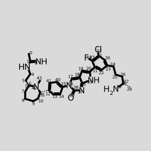 CC(=N)NCC[C@@H]1CCCC[C@@H](c2ccc(-n3cc4cc(-c5cc(CCC[C@H](C)N)cc(Cl)c5F)[nH]c4nc3=O)cc2)N1C